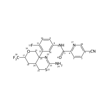 N#Cc1ccc(C(=O)Nc2ccc(F)c(C34COC(C(F)(F)F)CC3CSC(N)=N4)c2)nc1